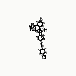 OC1(C(F)(F)c2ccc(C#Cc3ccc(Cl)cc3)cn2)Cn2nnnc2-c2cc(F)ccc21